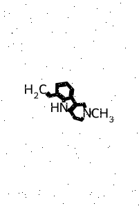 C=Cc1cccc2c3c([nH]c12)CCN(C)C3